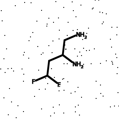 NCC(N)CC(F)F